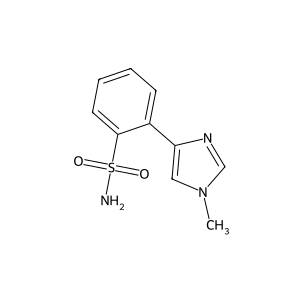 Cn1cnc(-c2ccccc2S(N)(=O)=O)c1